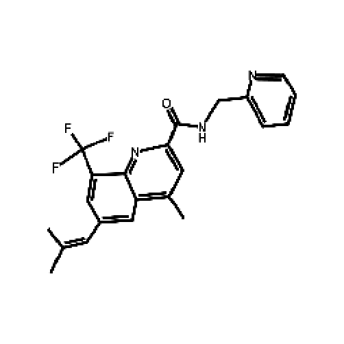 CC(C)=Cc1cc(C(F)(F)F)c2nc(C(=O)NCc3ccccn3)cc(C)c2c1